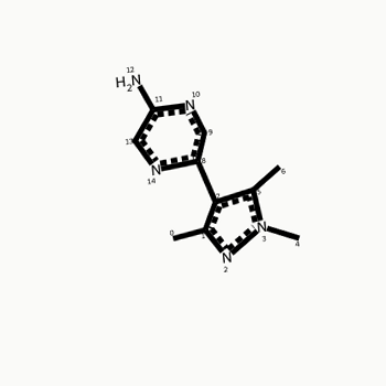 Cc1nn(C)c(C)c1-c1cnc(N)cn1